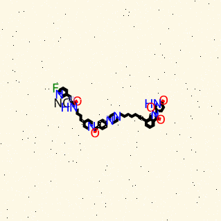 N#C/C(=C\c1ccc(F)nc1)C(=O)NCCCCC1CCN(C(=O)c2ccc(N3CCN(CCCCCC#Cc4cccc5c4CN(C4CCC(=O)NC4=O)C5=O)CC3)cc2)CC1